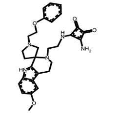 COc1ccc2[nH]c3c(c2c1)CCN(CCNc1c(N)c(=O)c1=O)C31CCN(CCOc2ccccc2)C1